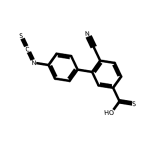 N#Cc1ccc(C(O)=S)cc1-c1ccc(N=C=S)cc1